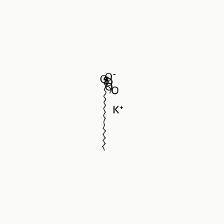 CCCCCCCCCCCCCCCCCCCCC(CS(=O)(=O)[O-])OC(C)=O.[K+]